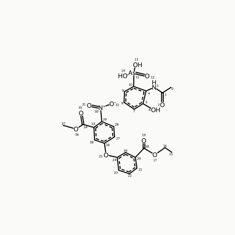 CC(=O)Nc1c(O)cccc1[As](=O)(O)O.CCOC(=O)c1cccc(Oc2ccc([N+](=O)[O-])c(C(=O)OC)c2)c1